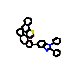 C1=Cc2ccc(-c3ccc4c(c3)nc(-c3ccccc3)n4-c3ccccc3)cc2C2(c3ccccc31)c1ccccc1Sc1c2ccc2ccccc12